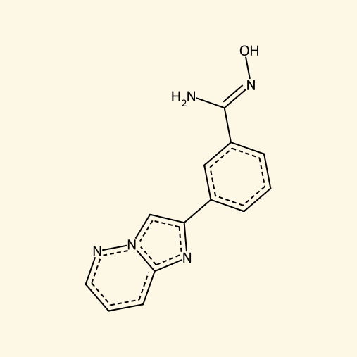 N/C(=N\O)c1cccc(-c2cn3ncccc3n2)c1